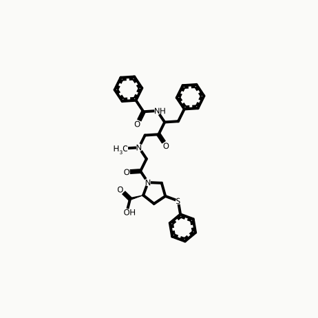 CN(CC(=O)C(Cc1ccccc1)NC(=O)c1ccccc1)CC(=O)N1CC(Sc2ccccc2)C[C@H]1C(=O)O